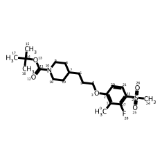 Cc1c(OCCCC2CCN(C(=O)OC(C)(C)C)CC2)ccc(S(C)(=O)=O)c1F